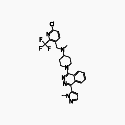 CN(Cc1ccc(Cl)nc1C(F)(F)F)C1CCN(c2nnc(-c3ccnn3C)c3ccccc23)CC1